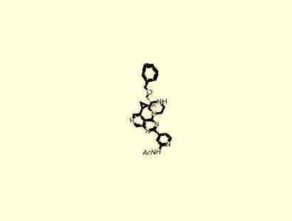 CC(=O)Nc1cc(-c2nc(N3CCN[C@@H](COCc4ccccc4)C3)c3c(C4CC4)cncc3n2)ccn1